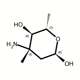 C[C@@H]1O[C@@H](O)C[C@](C)(N)[C@H]1O